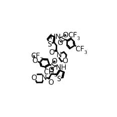 Cc1cc(OC(F)(F)F)ccc1S(=O)(=O)Nc1ccsc1CC(=O)N1CCOCC1.O=C(Cc1sccc1NS(=O)(=O)c1ccc(C(F)(F)F)cc1C(F)(F)F)N1CCOCC1